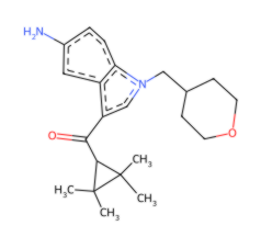 CC1(C)C(C(=O)c2cn(CC3CCOCC3)c3ccc(N)cc23)C1(C)C